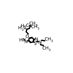 CCCN(CCC)c1nc2cc(OCCC(C)CC(C)(C)C)c(N=N)cc2s1